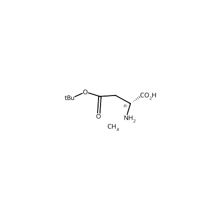 C.CC(C)(C)OC(=O)C[C@@H](N)C(=O)O